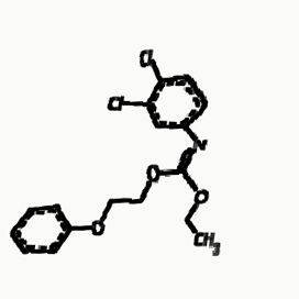 CCOC(=Nc1ccc(Cl)c(Cl)c1)OCCOc1ccccc1